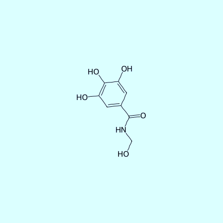 O=C(NCO)c1cc(O)c(O)c(O)c1